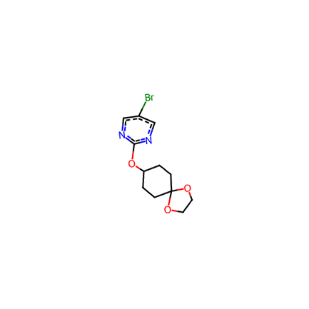 Brc1cnc(OC2CCC3(CC2)OCCO3)nc1